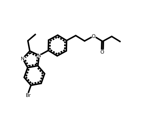 CCC(=O)OCCc1ccc(-n2c(CC)nc3cc(Br)ccc32)cc1